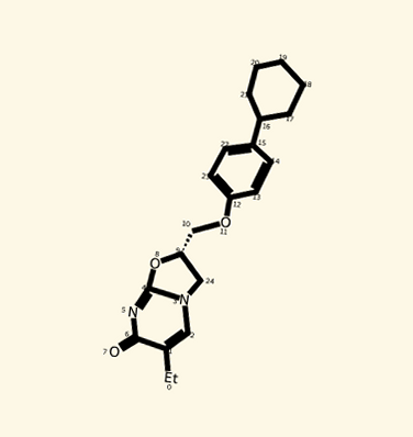 CCc1cn2c(nc1=O)O[C@H](COc1ccc(C3CCCCC3)cc1)C2